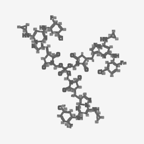 O=C1C/C(=C\c2cnn3c(NC4CC4)cc(Nc4cc(Cl)ccc4F)nc23)C(=O)N1COP(=O)(OCN1C(=O)C/C(=C\c2cnn3c(NC4CC4)cc(Nc4cc(Cl)ccc4F)nc23)C1=O)OCN1C(=O)C/C(=C\c2cnn3c(NC4CC4)cc(Nc4cc(Cl)ccc4F)nc23)C1=O